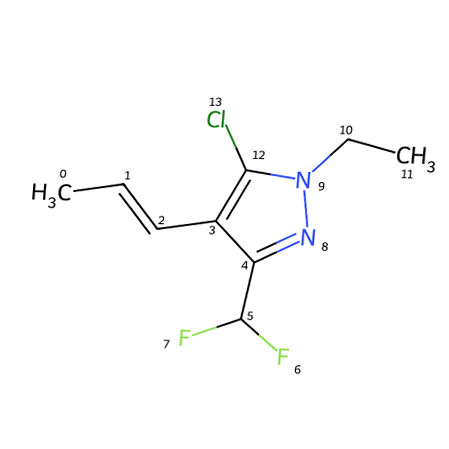 CC=Cc1c(C(F)F)nn(CC)c1Cl